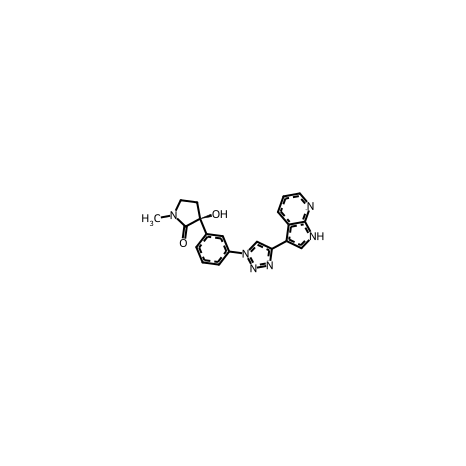 CN1CC[C@](O)(c2cccc(-n3cc(-c4c[nH]c5ncccc45)nn3)c2)C1=O